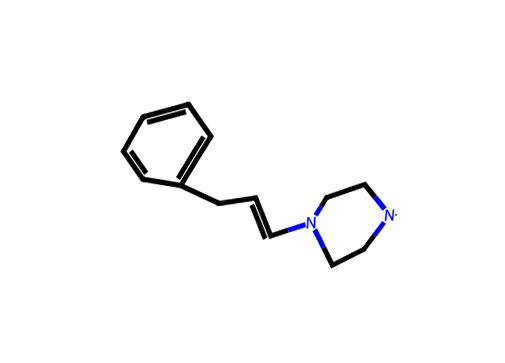 C(=CN1CC[N]CC1)Cc1ccccc1